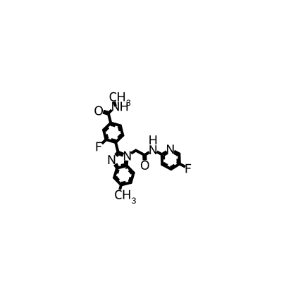 CNC(=O)c1ccc(-c2nc3cc(C)ccc3n2CC(=O)Nc2ccc(F)cn2)c(F)c1